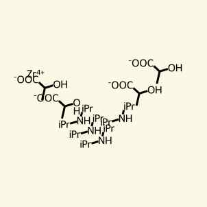 CC(C)NC(C)C.CC(C)NC(C)C.CC(C)NC(C)C.CC(C)NC(C)C.CC(O)C(=O)[O-].CC(O)C(=O)[O-].CC(O)C(=O)[O-].CC(O)C(=O)[O-].[Zr+4]